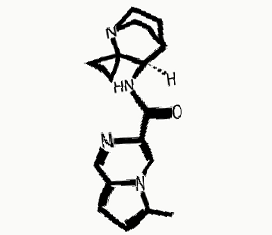 Cc1ccc2cnc(C(=O)N[C@@H]3C4CCN(CC4)C34CC4)cn12